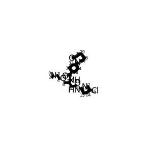 CN(C)CCOCC(CC(=O)Nc1ccc(Cl)cn1)NC(=O)c1ccc(-n2ccccc2=O)cc1